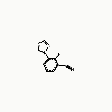 N#Cc1cccc(N2CSC=N2)c1F